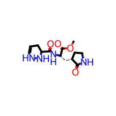 COC(=O)[C@H](C[C@@H]1CCNC1=O)NC(=O)C1CC=CNN1